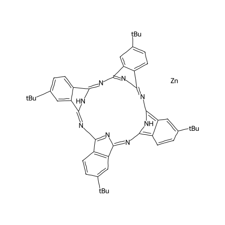 CC(C)(C)c1ccc2c(c1)-c1nc-2nc2[nH]c(nc3nc(nc4[nH]c(n1)c1ccc(C(C)(C)C)cc41)-c1ccc(C(C)(C)C)cc1-3)c1ccc(C(C)(C)C)cc21.[Zn]